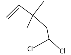 C=CC(C)(C)CC(Cl)Cl